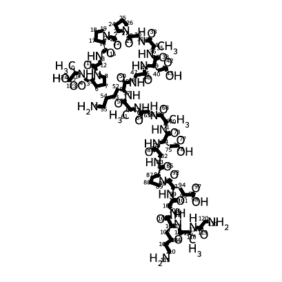 C[C@H](NC(=O)[C@@H]1CCCN1C(=O)CNC(=O)[C@@H]1CCCN1C(=O)[C@@H]1CCCN1C(=O)CNC(=O)[C@H](C)NC(=O)[C@H](CC(=O)O)NC(=O)CNC(=O)[C@H](CCCCN)NC(=O)[C@H](C)NC(=O)CNC(=O)[C@H](C)NC(=O)[C@H](CC(=O)O)NC(=O)CNC(=O)[C@@H]1CCCN1C(=O)[C@H](CCC(=O)O)NC(=O)CNC(=O)[C@H](CCCCN)NC(=O)[C@H](C)NC(=O)CN)C(=O)O